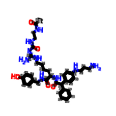 CCC(=O)NCCNC(=O)/N=C(/N)NCCCC[C@@H](NC(=O)C(c1ccccc1)c1ccc(NCCCN)cc1)C(=O)NCc1ccc(O)cc1